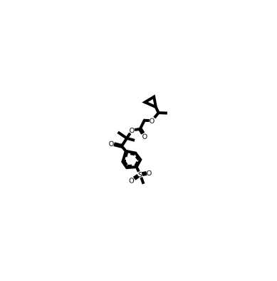 CC(OCC(=O)OC(C)(C)C(=O)c1ccc(S(C)(=O)=O)cc1)C1CC1